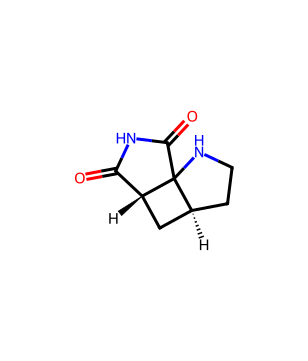 O=C1NC(=O)C23NCC[C@H]2C[C@H]13